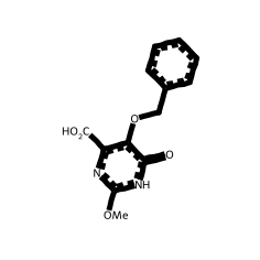 COc1nc(C(=O)O)c(OCc2ccccc2)c(=O)[nH]1